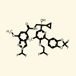 COc1cc(C(=O)NC[C@](O)(c2cc(C)c(OCC(F)F)c(-c3ccc4c(c3)OC(F)(F)O4)n2)C2CC2)cc2cn(C(F)F)nc12